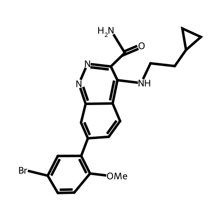 COc1ccc(Br)cc1-c1ccc2c(NCCC3CC3)c(C(N)=O)nnc2c1